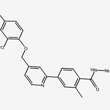 Cc1cc(-c2cc(COc3ccc(F)cc3Cl)ccn2)ccc1C(=O)NN